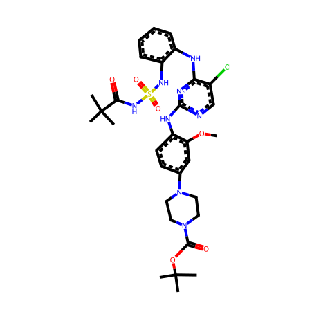 COc1cc(N2CCN(C(=O)OC(C)(C)C)CC2)ccc1Nc1ncc(Cl)c(Nc2ccccc2NS(=O)(=O)NC(=O)C(C)(C)C)n1